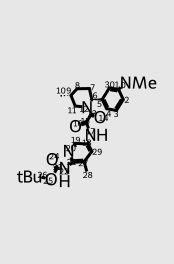 CNc1cccc([C@@H]2CC[C@@H](C)CN2C(=O)C(=O)Nc2cnc(NC(=O)OC(C)(C)C)c(C)c2)c1